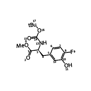 COC(=O)[C@H](Cc1ccc(F)c(O)c1)NC(=O)OC(C)(C)C